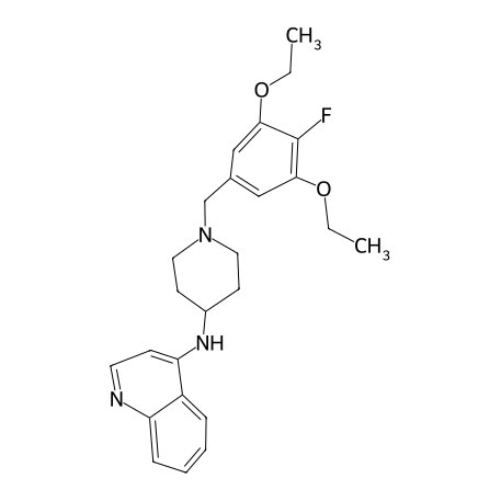 CCOc1cc(CN2CCC(Nc3ccnc4ccccc34)CC2)cc(OCC)c1F